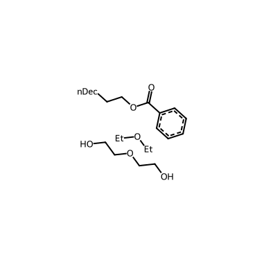 CCCCCCCCCCCCOC(=O)c1ccccc1.CCOCC.OCCOCCO